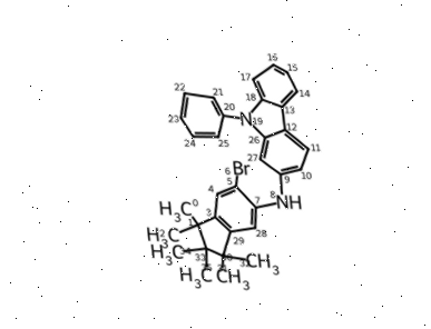 CC1(C)c2cc(Br)c(Nc3ccc4c5ccccc5n(-c5ccccc5)c4c3)cc2C(C)(C)C1(C)C